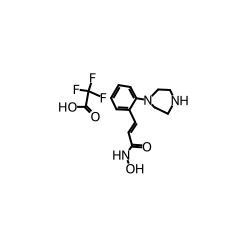 O=C(/C=C/c1ccccc1N1CCNCC1)NO.O=C(O)C(F)(F)F